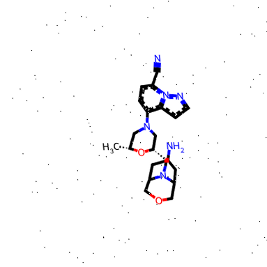 C[C@@H]1CN(c2ccc(C#N)n3nccc23)C[C@H](CN2C3COCC2CC(N)C3)O1